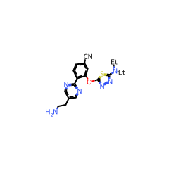 CCN(CC)c1nnc(Oc2cc(C#N)ccc2-c2ncc(CCN)cn2)s1